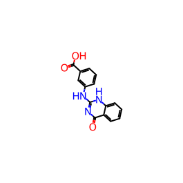 O=C(O)c1cccc(Nc2nc(=O)c3ccccc3[nH]2)c1